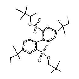 CCC(C)(C)c1ccc(-c2ccc(C(C)(C)CC)cc2S(=O)(=O)OC(C)C(C)(C)C)c(S(=O)(=O)OCC(C)(C)C)c1